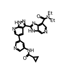 CCN(CC)C(=O)c1cncc2[nH]c(-c3n[nH]c4ncc(-c5cncc(NC(=O)C6CC6)c5)cc34)nc12